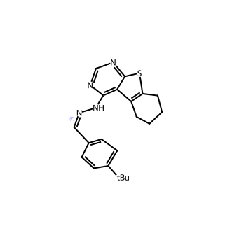 CC(C)(C)c1ccc(/C=N\Nc2ncnc3sc4c(c23)CCCC4)cc1